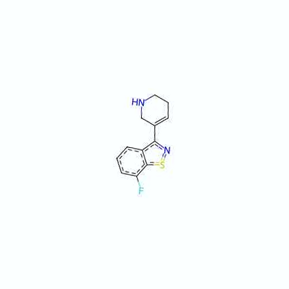 Fc1cccc2c(C3=CCCNC3)nsc12